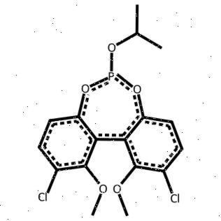 COc1c(Cl)ccc2op(OC(C)C)oc3ccc(Cl)c(OC)c3c12